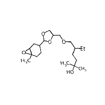 CCC(CCC(C)(C)O)COCC1COC(C2CCC3(C)OC3C2)O1